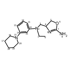 CCN(CC1COC(N)=N1)c1cccc(N2CCCCC2)c1